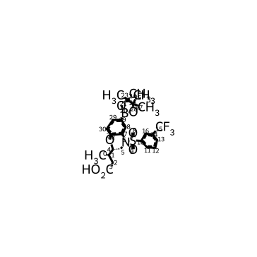 C[C@H](CC(=O)O)[C@H]1CN(S(=O)(=O)c2cccc(C(F)(F)F)c2)c2cc(B3OC(C)(C)C(C)(C)O3)ccc2O1